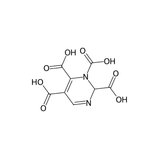 O=C(O)C1=C(C(=O)O)N(C(=O)O)C(C(=O)O)N=C1